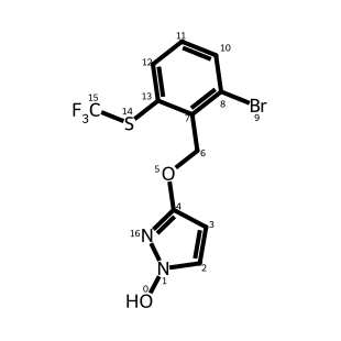 On1ccc(OCc2c(Br)cccc2SC(F)(F)F)n1